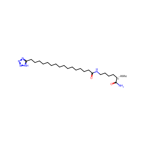 CN[C@@H](CCCCNC(=O)CCCCCCCCCCCCCCCc1nnn[nH]1)C(N)=O